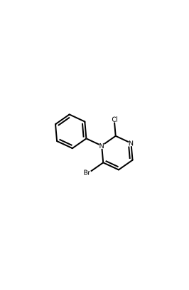 ClC1N=CC=C(Br)N1c1ccccc1